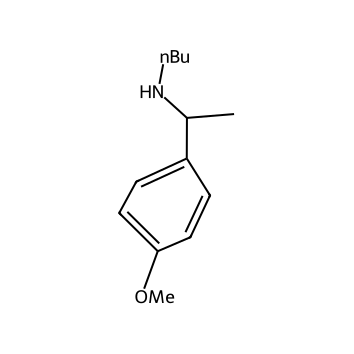 CCCCNC(C)c1ccc(OC)cc1